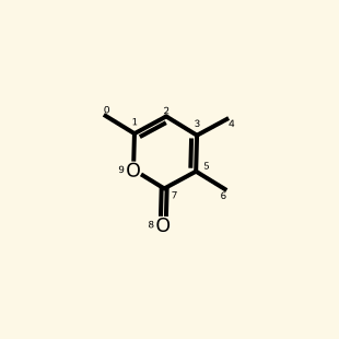 Cc1cc(C)c(C)c(=O)o1